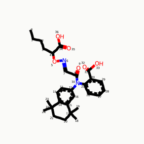 CCCCC(ON=CC(=O)N(c1ccc2c(c1)C(C)(C)CCC2(C)C)c1ccccc1C(=O)O)C(=O)O